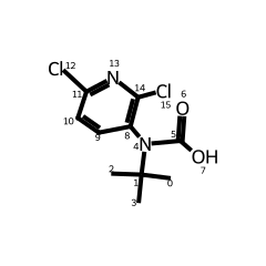 CC(C)(C)N(C(=O)O)c1ccc(Cl)nc1Cl